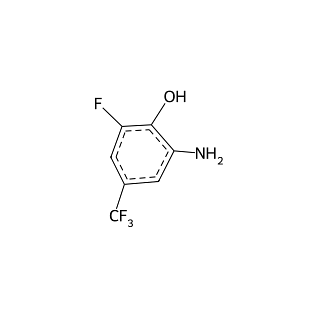 Nc1cc(C(F)(F)F)cc(F)c1O